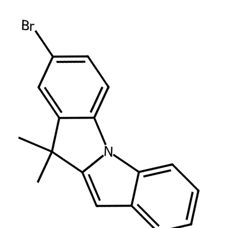 CC1(C)c2cc(Br)ccc2-n2c1cc1ccccc12